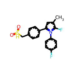 Cc1cc(-c2ccc(C[SH](=O)=O)cc2)n(-c2ccc(F)cc2)c1F